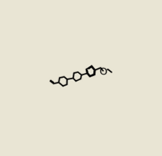 C=CC1CCC(C2CCC(c3ccc(COCC)cc3)CC2)CC1